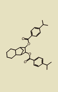 CC(C)c1ccc(C(=O)OC2C3CC(C4CCCCC43)C2OC(=O)c2ccc(C(C)C)cc2)cc1